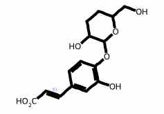 O=C(O)/C=C/c1ccc(OC2OC(CO)CCC2O)c(O)c1